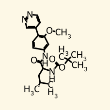 COc1cc(NC(=O)C(CC(C)C)NC(=O)OC(C)(C)C)ccc1-c1ccnnc1